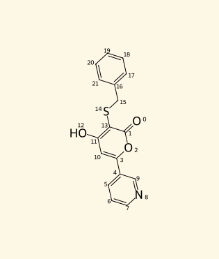 O=c1oc(-c2cccnc2)cc(O)c1SCc1ccccc1